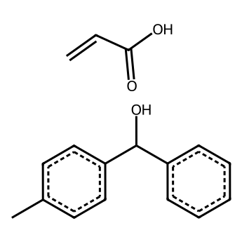 C=CC(=O)O.Cc1ccc(C(O)c2ccccc2)cc1